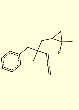 C=C=CC(C)(Cc1ccccc1)CC1CC1(C)F